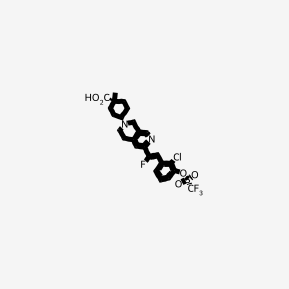 C[C@]1(C(=O)O)CC[C@H](N2CCc3cc(/C(F)=C/c4cccc(OS(=O)(=O)C(F)(F)F)c4Cl)ncc3C2)CC1